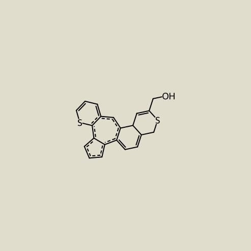 OCC1=CC2C(=CC=c3c4cccc-4c4c(cc32)=CC=CS4)CS1